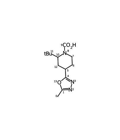 Cc1nnc(C2CCN(C(=O)O)C(C(C)(C)C)C2)o1